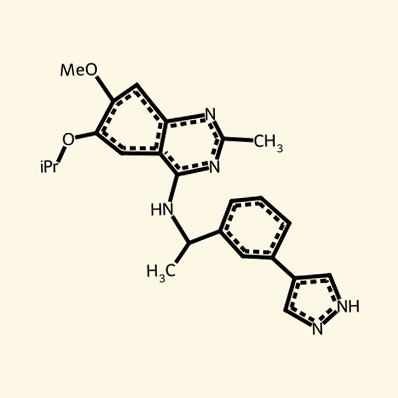 COc1cc2nc(C)nc(NC(C)c3cccc(-c4cn[nH]c4)c3)c2cc1OC(C)C